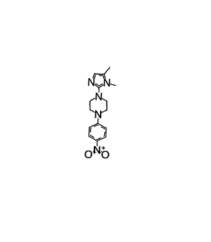 Cc1cnc(N2CCN(c3ccc([N+](=O)[O-])cc3)CC2)n1C